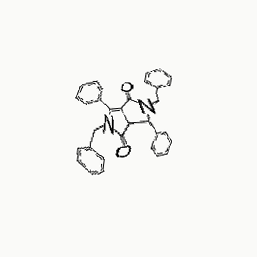 O=C1C2C(=C(c3ccccc3)N1Cc1ccccc1)C(=O)N(Cc1ccccc1)C2c1ccccc1